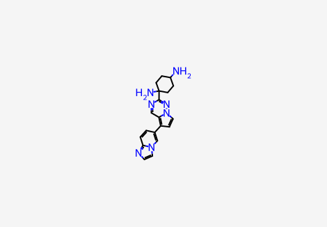 NC1CCC(N)(c2ncc3c(-c4ccc5nccn5c4)ccn3n2)CC1